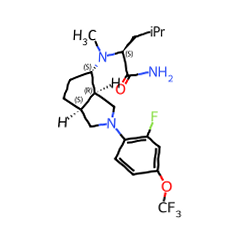 CC(C)C[C@@H](C(N)=O)N(C)[C@H]1CC[C@@H]2CN(c3ccc(OC(F)(F)F)cc3F)C[C@@H]21